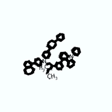 C\C=C/C=C(\C=C(/C)N(c1ccc(C2=CCC=C(c3ccccc3)C=C2)cc1)c1ccc(-c2cccc3c2CCCC=C3)cc1)c1cccc(-c2cccc3c2c2ccccc2n3-c2ccccc2)c1